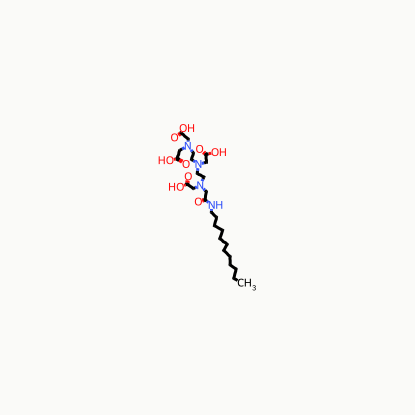 CCCCCCCCCCCCNC(=O)CN(CCN(CCN(CC(=O)O)CC(=O)O)CC(=O)O)CC(=O)O